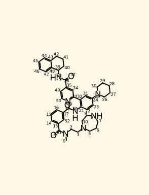 CN(CCN1CCCNCC1)C(=O)c1cccc(C(=O)Nc2ccc(N3CCCCC3)cc2-c2cc(C(=O)NC3CCCc4ccccc43)ccn2)c1